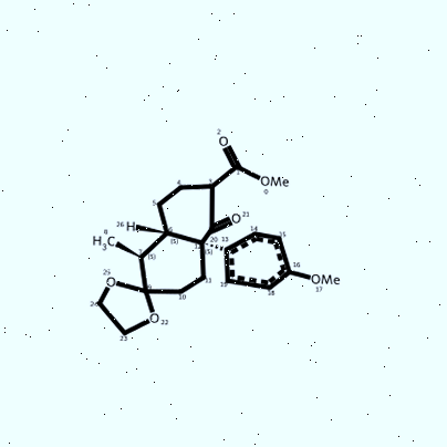 COC(=O)C1CC[C@H]2[C@H](C)C3(CC[C@]2(c2ccc(OC)cc2)C1=O)OCCO3